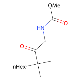 CCCCCCC(C)(C)C(=O)CNC(=O)OC